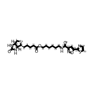 O=C1N[C@H]2[C@H](CS[C@H]2CCCCC(=O)OCCCCCCNC(=O)c2cc(-c3nccs3)on2)N1